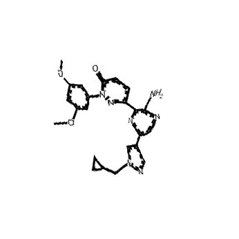 COc1cc(OC)cc(-n2nc(-c3nc(-c4cnn(CC5CC5)c4)cnc3N)ccc2=O)c1